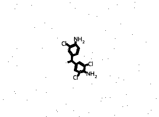 CC(c1ccc(N)c(Cl)c1)c1cc(Cl)c(N)c(Cl)c1